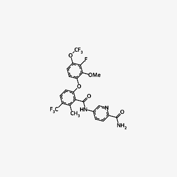 COc1c(Oc2ccc(C(F)(F)F)c(C)c2C(=O)Nc2ccc(C(N)=O)nc2)ccc(OC(F)(F)F)c1F